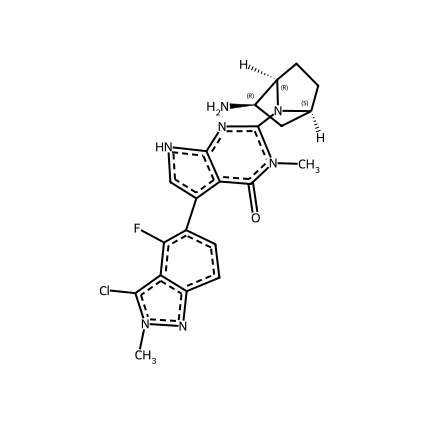 Cn1nc2ccc(-c3c[nH]c4nc(N5[C@H]6CC[C@@H]5[C@H](N)C6)n(C)c(=O)c34)c(F)c2c1Cl